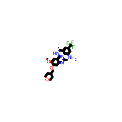 COc1cc2c(N[C@H](C)c3cc(N)cc(C(F)(F)F)c3)nc(C)nc2cc1OCC1CCOCC1